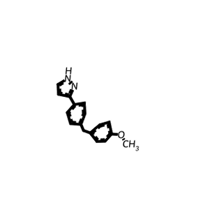 COc1ccc(Cc2ccc(-c3cc[nH]n3)cc2)cc1